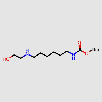 CC(C)(C)OC(=O)NCCCCCCNCCO